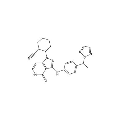 CC(c1ccc(Nc2nn(C3CCCCC3C#N)c3cc[nH]c(=O)c23)cc1)n1nccn1